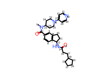 CN(C(=O)c1ccc2c(c1)CCC2NC(=O)CCC1CCCC1)C1CCN(c2ccncc2)CC1